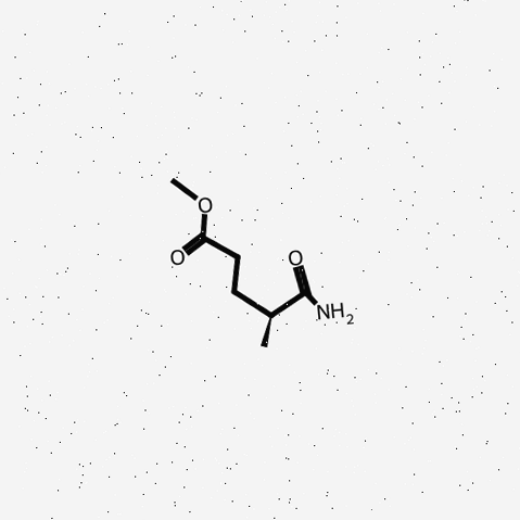 COC(=O)CC[C@H](C)C(N)=O